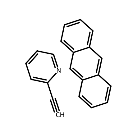 C#Cc1ccccn1.c1ccc2cc3ccccc3cc2c1